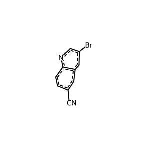 N#Cc1ccc2ncc(Br)cc2c1